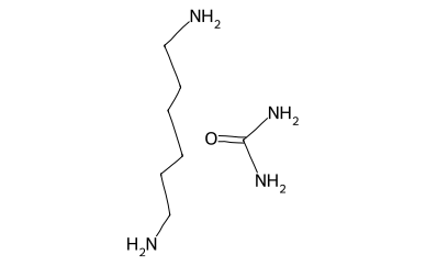 NC(N)=O.NCCCCCCN